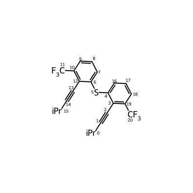 CC(C)C#Cc1c(Sc2cccc(C(F)(F)F)c2C#CC(C)C)cccc1C(F)(F)F